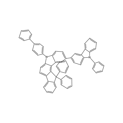 c1ccc(-c2ccc(-n3c4ccc(-c5ccc6c(c5)c5ccccc5n6-c5ccccc5)cc4c4c5c(ccc43)-c3ccccc3C5(c3ccccc3)c3ccccc3)cc2)cc1